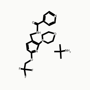 CC(C)(C)N.O=C(NCc1ccc(OCC(F)(F)F)nc1N1CCOCC1)c1ccncc1